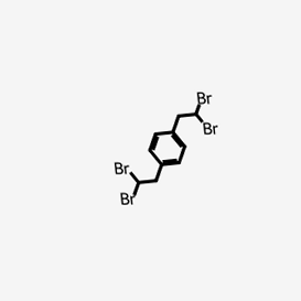 BrC(Br)Cc1ccc(CC(Br)Br)cc1